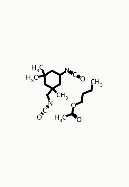 CC1(C)CC(N=C=O)CC(C)(CN=C=O)C1.CCCCOC(C)=O